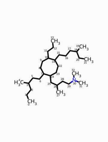 CCCC(C)CCC1CCC(CCC)C(CCCC(C)CC)CCC1CC(C)CCN(C)C